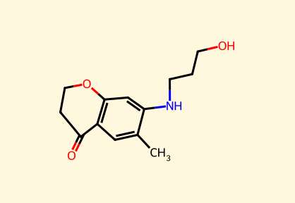 Cc1cc2c(cc1NCCCO)OCCC2=O